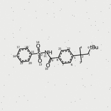 CC(C)(C)CC(C)(C)c1ccc(C(=O)NS(=O)(=O)c2ccccc2)cc1